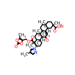 Cc1cnn([C@H]2CC[C@@]3(C)C(CC[C@]4(C)[C@@H]3C(=O)C=C3[C@@H]5C[C@@](C)(C(=O)O)CC[C@]5(C)CC[C@]34C)[C@]2(C)C(=O)OCc2oc(=O)oc2C)c1